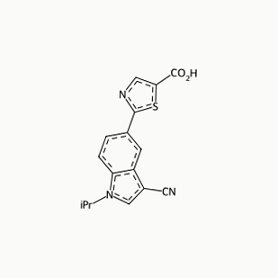 CC(C)n1cc(C#N)c2cc(-c3ncc(C(=O)O)s3)ccc21